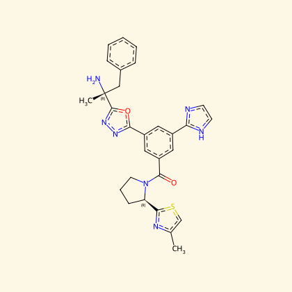 Cc1csc([C@H]2CCCN2C(=O)c2cc(-c3ncc[nH]3)cc(-c3nnc([C@](C)(N)Cc4ccccc4)o3)c2)n1